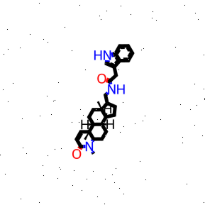 CN1C(=O)C=C[C@@]2(C)C1CC[C@@H]1[C@H]2CC[C@]2(C)C(CNC(=O)Cc3c[nH]c4ccccc34)CC[C@@H]12